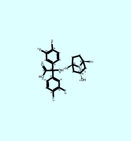 CN1[C@@H]2CC[C@H]1C[C@@H](O)C2.O=C(O)C(O)(c1ccc(F)c(F)c1)c1ccc(F)c(F)c1